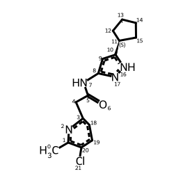 Cc1nc(CC(=O)Nc2cc([C@H]3C[CH]CC3)[nH]n2)ccc1Cl